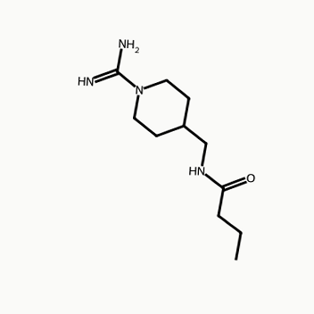 CCCC(=O)NCC1CCN(C(=N)N)CC1